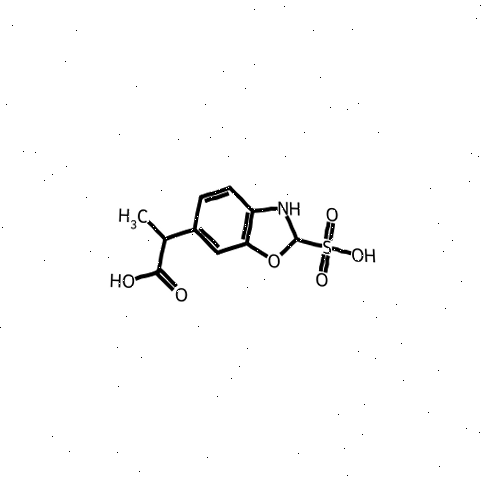 CC(C(=O)O)c1ccc2c(c1)OC(S(=O)(=O)O)N2